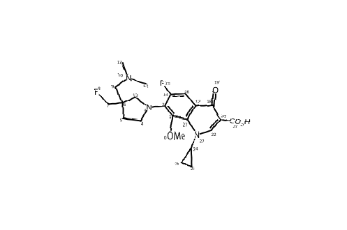 COc1c(N2CCC(CF)(CN(C)C)C2)c(F)cc2c(=O)c(C(=O)O)cn(C3CC3)c12